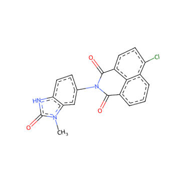 Cn1c(=O)[nH]c2ccc(N3C(=O)c4cccc5c(Cl)ccc(c45)C3=O)cc21